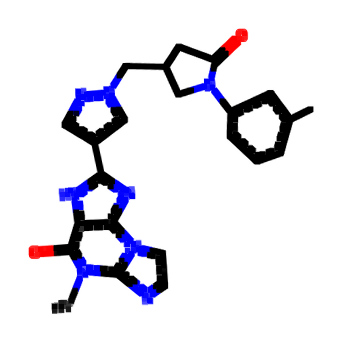 CCCn1c(=O)c2[nH]c(-c3cnn(CC4CC(=O)N(c5cccc(C)c5)C4)c3)nc2n2ccnc12